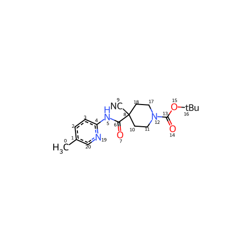 Cc1ccc(NC(=O)C2(C#N)CCN(C(=O)OC(C)(C)C)CC2)nc1